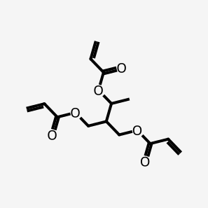 C=CC(=O)OCC(COC(=O)C=C)C(C)OC(=O)C=C